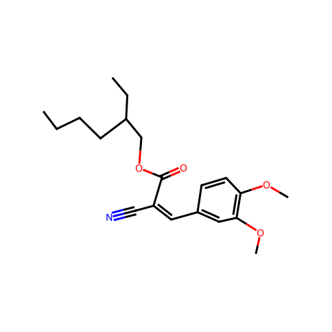 CCCCC(CC)COC(=O)C(C#N)=Cc1ccc(OC)c(OC)c1